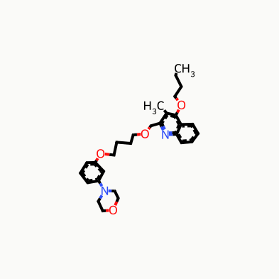 CCCCOc1c(C)c(COCCCCOc2cccc(N3CCOCC3)c2)nc2ccccc12